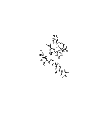 CCNC1=NC(=O)C(c2ccccc2)O1.CN(C)C1=NC(=O)C(c2ccccc2)O1.NC1=NC(=O)C(c2ccccc2)O1.NC1=NCC(c2ccc(C(F)(F)F)cc2)O1